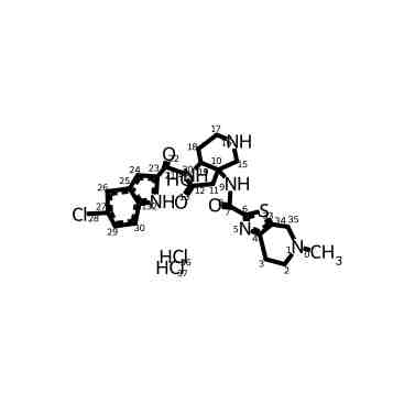 CN1CCc2nc(C(=O)NC3(CC(=O)O)CNCCC3NC(=O)c3cc4cc(Cl)ccc4[nH]3)sc2C1.Cl.Cl